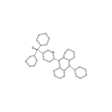 O=P(c1ccccc1)(c1ccccc1)c1ccc(-c2c3ccccc3c(-c3ccccc3)c3ccccc23)nc1